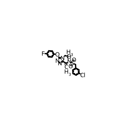 CCn1c(Oc2ccc(F)cc2)nnc1[C@@H](C)NS(=O)(=O)Cc1cccc(Cl)c1